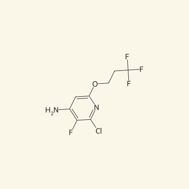 Nc1cc(OCCC(F)(F)F)nc(Cl)c1F